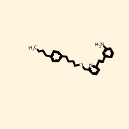 CCCCc1ccc(CCCCOCc2cccc(C=Cc3cccc(N)c3)n2)cc1